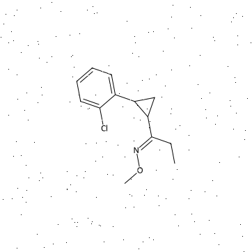 CCC(=NOC)C1CC1c1ccccc1Cl